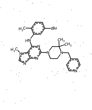 Cc1ccc(C(C)(C)C)cc1Nc1nc(N2CCN(Cc3ccncc3)C(C)(C)C2)nc2ncn(C)c12